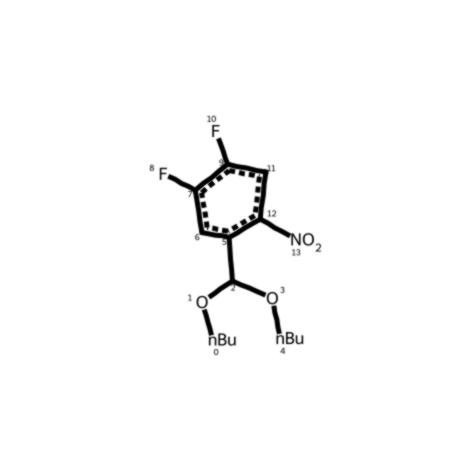 CCCCOC(OCCCC)c1cc(F)c(F)cc1[N+](=O)[O-]